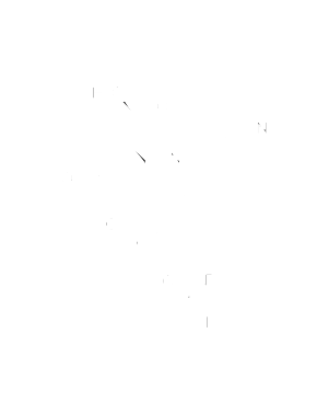 COc1cc(-c2cc3ncccc3c(O[C@H](C)[C@H]3CCCC(=O)C3)n2)ccc1OC(F)(F)F